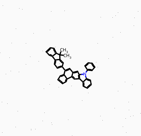 CC1(C)c2ccccc2-c2ccc(-c3cc4cc5c(cc4c4ccccc34)c3ccccc3n5-c3ccccc3)cc21